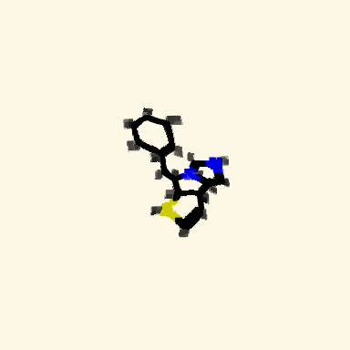 C1=CC2c3cncn3C(CC3CCCCC3)C2S1